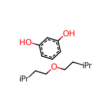 CC(C)CCOCCC(C)C.Oc1cccc(O)c1